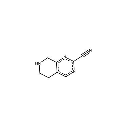 N#Cc1ncc2c(n1)CNCC2